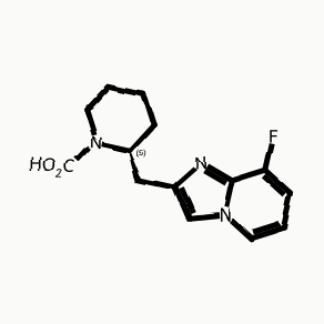 O=C(O)N1CCCC[C@H]1Cc1cn2cccc(F)c2n1